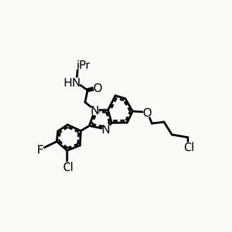 CC(C)NC(=O)Cn1c(-c2ccc(F)c(Cl)c2)nc2cc(OCCCCCl)ccc21